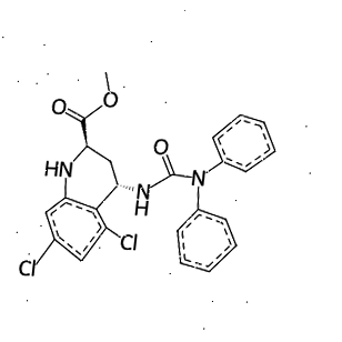 COC(=O)[C@H]1C[C@H](NC(=O)N(c2ccccc2)c2ccccc2)c2c(Cl)cc(Cl)cc2N1